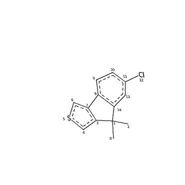 CC1(C)c2cscc2-c2ccc(Cl)cc21